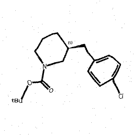 CC(C)(C)OC(=O)N1CCC[C@@H](Cc2ccc(Cl)cc2)C1